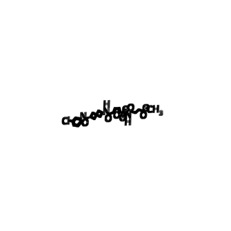 COC(=O)CCC(=O)NS(=O)(=O)c1ccc(C(=O)N[C@H]2CC3(C2)C[C@H](c2nc4cc(Cl)ccc4o2)C3)o1